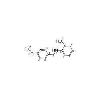 [CH2]c1ccccc1NCc1ccc(OC(F)(F)F)cc1